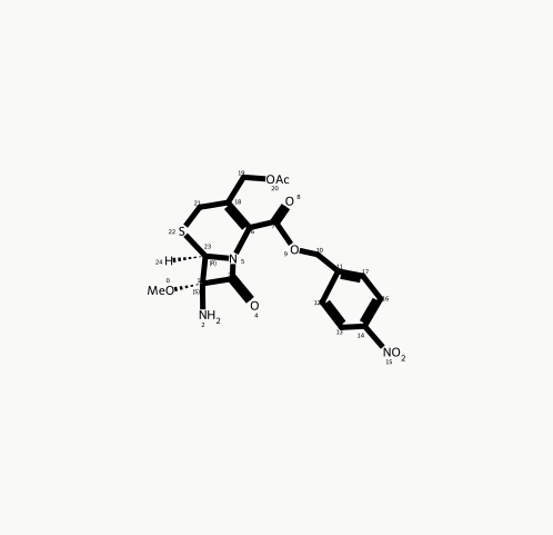 CO[C@@]1(N)C(=O)N2C(C(=O)OCc3ccc([N+](=O)[O-])cc3)=C(COC(C)=O)CS[C@@H]21